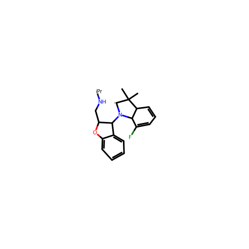 CC(C)NCC1Oc2ccccc2C1N1[C]C(C)(C)C2C=CC=C(F)C21